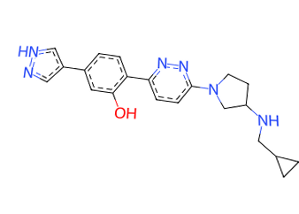 Oc1cc(-c2cn[nH]c2)ccc1-c1ccc(N2CCC(NCC3CC3)C2)nn1